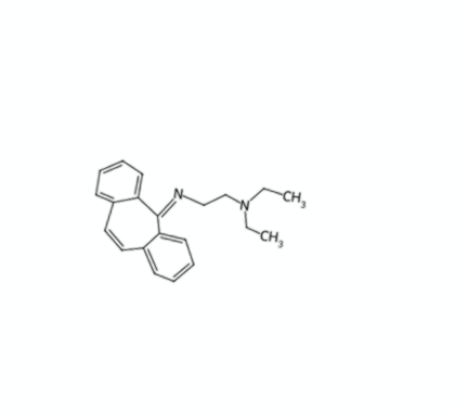 CCN(CC)CCN=c1c2ccccc2ccc2ccccc12